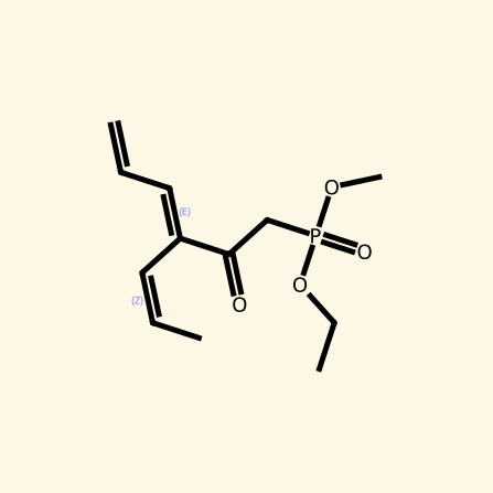 C=C/C=C(\C=C/C)C(=O)CP(=O)(OC)OCC